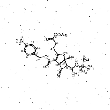 COC(=O)CSC1=C(C(=O)OCc2ccc([N+](=O)[O-])cc2)N2C(=O)C(C(C)O[Si](C)(C)C(C)(C)C)[C@H]2S1